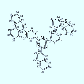 c1cc(-c2nc(-c3ccc(-c4cc5ccccc5c5ccccc45)cc3)nc(-c3ccc4ccccc4c3)n2)cc(-c2cccc3sc4ccccc4c23)c1